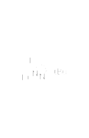 CCn1nc(C(C)(C)C)cc1I